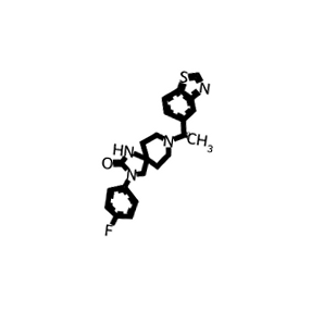 C[C@H](c1ccc2scnc2c1)N1CCC2(CC1)CN(c1ccc(F)cc1)C(=O)N2